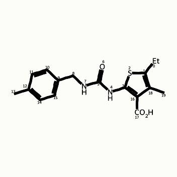 CCc1sc(NC(=O)NCc2ccc(C)cc2)c(C(=O)O)c1C